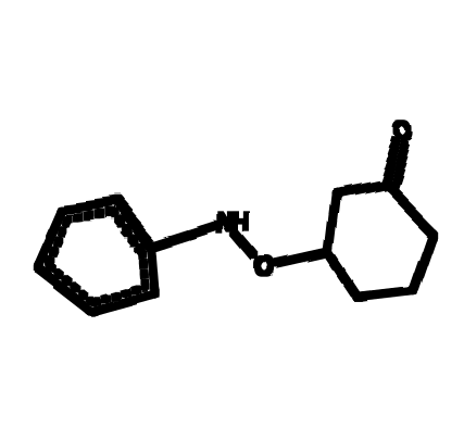 O=C1CCCC(ONc2ccccc2)C1